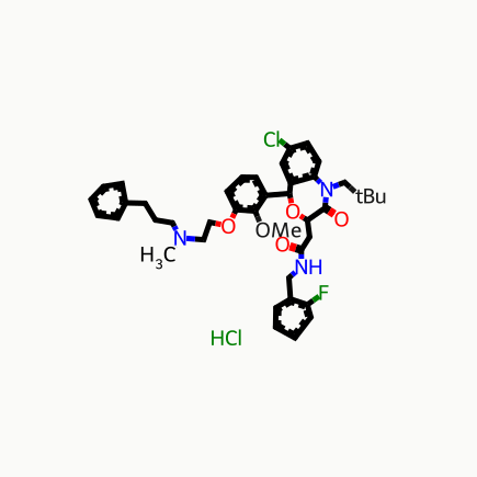 COc1c(OCCN(C)CCCc2ccccc2)cccc1C1OC(CC(=O)NCc2ccccc2F)C(=O)N(CC(C)(C)C)c2ccc(Cl)cc21.Cl